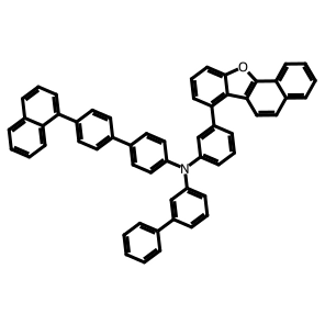 c1ccc(-c2cccc(N(c3ccc(-c4ccc(-c5cccc6ccccc56)cc4)cc3)c3cccc(-c4cccc5oc6c7ccccc7ccc6c45)c3)c2)cc1